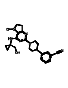 N#Cc1cccc(C2CCN(c3nc4c(c(NC5(CO)CC5)n3)[S+]([O-])CC4)CC2)c1